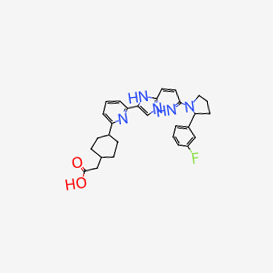 N=C(/C=C\c1ncc(-c2cccc(C3CCC(CC(=O)O)CC3)n2)[nH]1)N1CCCC1c1cccc(F)c1